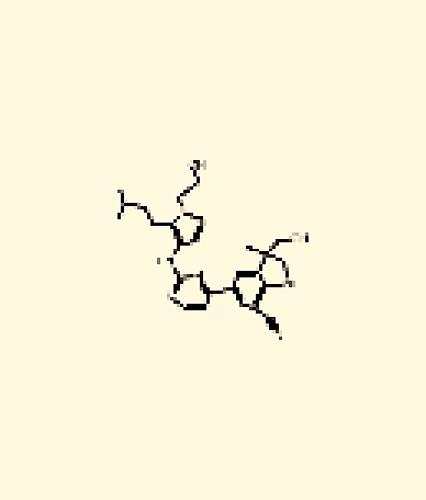 CC(C)CCc1c(Nc2nccc(-c3cc(C#N)c4c(c3)C(C)(CO)CN4)n2)cnn1CCO